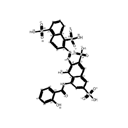 O=C(Nc1cc(S(=O)(=O)O)cc2cc(S(=O)(=O)O)c(/N=N/c3ccc4c(S(=O)(=O)O)cccc4c3S(=O)(=O)O)c(O)c12)c1ccccc1O